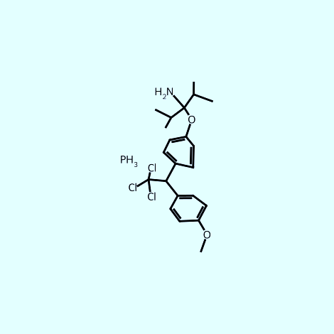 COc1ccc(C(c2ccc(OC(N)(C(C)C)C(C)C)cc2)C(Cl)(Cl)Cl)cc1.P